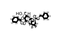 CN1C(=O)C(OC(=O)c2ccccc2)=C(C(=O)O)NC1(C)[C@@H]1CC(F)(F)CN1C(=O)OCc1ccccc1